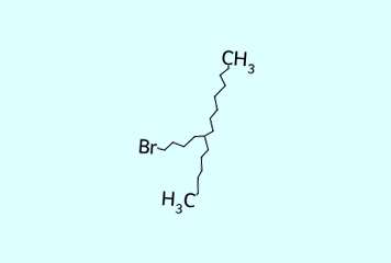 CCCCCCCCC(CCCCBr)CCCCCC